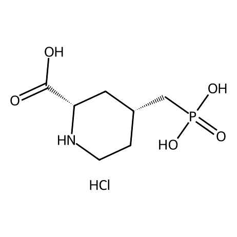 Cl.O=C(O)[C@@H]1C[C@H](CP(=O)(O)O)CCN1